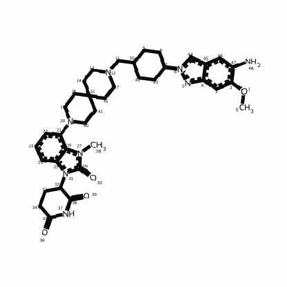 COc1cc2nn(C3CCC(CN4CCC5(CC4)CCN(c4cccc6c4n(C)c(=O)n6C4CCC(=O)NC4=O)CC5)CC3)cc2cc1N